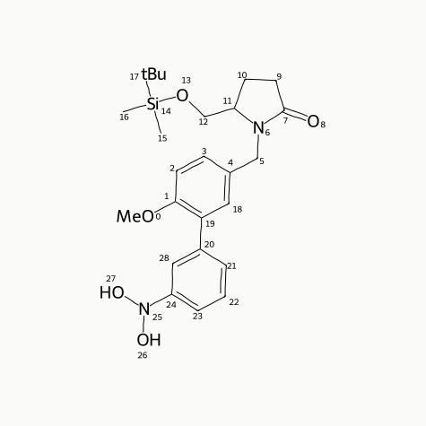 COc1ccc(CN2C(=O)CCC2CO[Si](C)(C)C(C)(C)C)cc1-c1cccc(N(O)O)c1